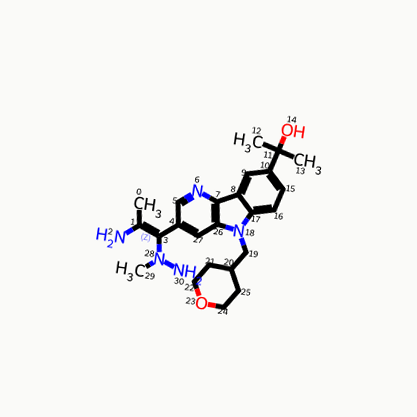 C/C(N)=C(\c1cnc2c3cc(C(C)(C)O)ccc3n(CC3CCOCC3)c2c1)N(C)N